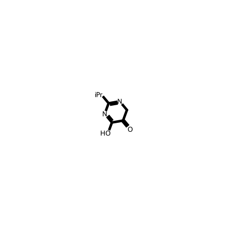 CC(C)C1=NCC(=O)C(O)=N1